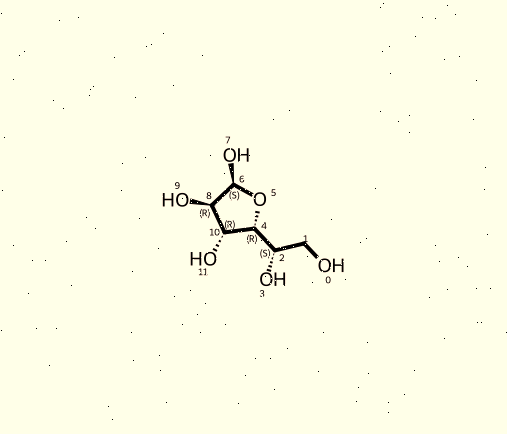 OC[C@H](O)[C@H]1O[C@H](O)[C@H](O)[C@H]1O